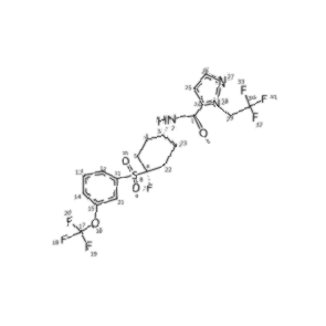 O=C(N[C@H]1CC[C@](F)(S(=O)(=O)c2cccc(OC(F)(F)F)c2)CC1)c1ccnn1CC(F)(F)F